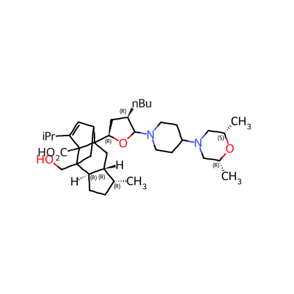 CCCC[C@@H]1C[C@H](C23C[C@@H]4[C@H](C)CC[C@H]4C4(CO)CC2C=C(C(C)C)C43C(=O)O)OC1N1CCC(N2C[C@@H](C)O[C@@H](C)C2)CC1